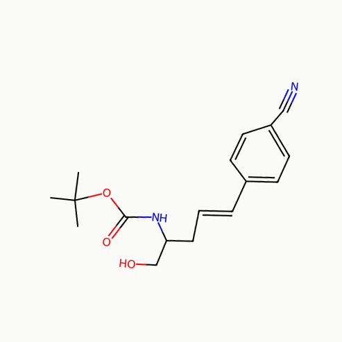 CC(C)(C)OC(=O)NC(CO)CC=Cc1ccc(C#N)cc1